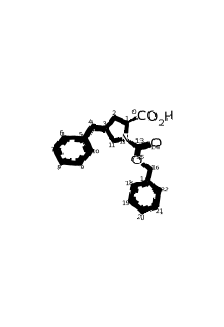 O=C(O)[C@@H]1CC(=Cc2ccccc2)CN1C(=O)OCc1ccccc1